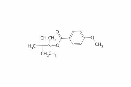 COc1ccc(C(=O)O[Si](C)(C)C(C)(C)C)cc1